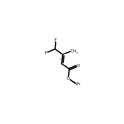 C/C(=C\C(=O)OC(C)C)C(F)F